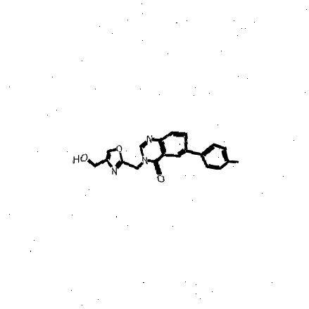 Cc1ccc(-c2ccc3ncn(Cc4nc(CO)co4)c(=O)c3c2)cc1